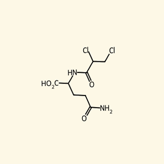 NC(=O)CCC(NC(=O)C(Cl)CCl)C(=O)O